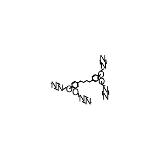 CN1CCN(CCOc2ccc(CCCCc3ccc(OCCN4CCN(C)CC4)c(OCCN4CCN(C)CC4)c3)cc2OCCN2CCN(C)CC2)CC1